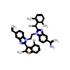 C=Cc1ccc2c(c1)nc(-c1c(C)sc3cccc(CC)c13)n2CCn1c(C(C2=C(C)C=CCC2C)C(C)C)nc2cc(C(=C)N)ccc21